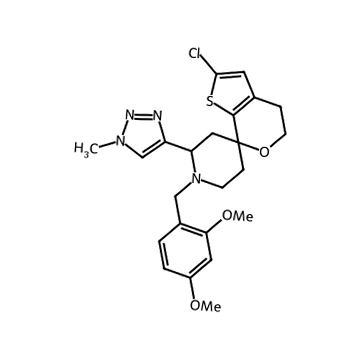 COc1ccc(CN2CCC3(CC2c2cn(C)nn2)OCCc2cc(Cl)sc23)c(OC)c1